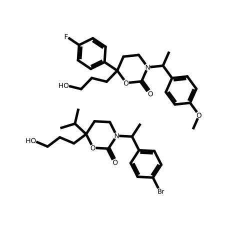 CC(c1ccc(Br)cc1)N1CCC(CCCO)(C(C)C)OC1=O.COc1ccc(C(C)N2CCC(CCCO)(c3ccc(F)cc3)OC2=O)cc1